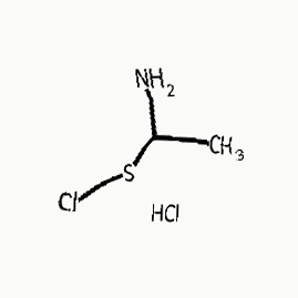 CC(N)SCl.Cl